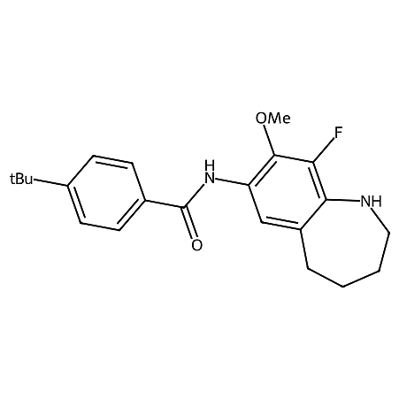 COc1c(NC(=O)c2ccc(C(C)(C)C)cc2)cc2c(c1F)NCCCC2